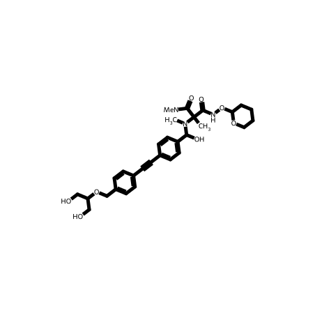 CNC(=O)C(C)(C(=O)NOC1CCCCO1)N(C)C(O)c1ccc(C#Cc2ccc(COC(CO)CO)cc2)cc1